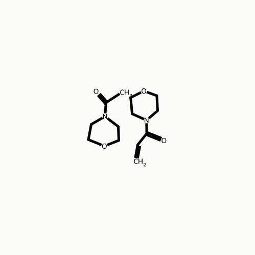 C=CC(=O)N1CCOCC1.CC(=O)N1CCOCC1